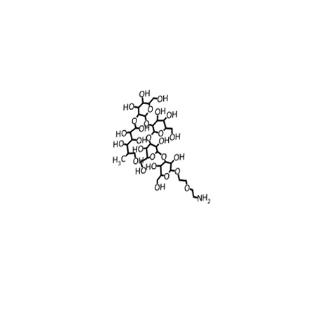 CC(CO)C(O)C(O)C(O)C(O)OC1C(OC2C(OC3C(O)C(CO)OC(OC4C(O)C(CO)OC(OCCOCCN)C4O)C3O)OC(CO)C(O)C2O)OC(CO)C(O)C1O